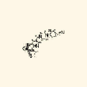 N#Cc1ccc(N2CCN(Cc3cnc4c(c3)NC(=O)[C@@H]3CSCCN43)CC2)cc1